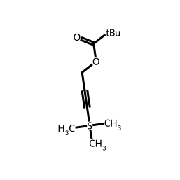 CC(C)(C)C(=O)OCC#CS(C)(C)C